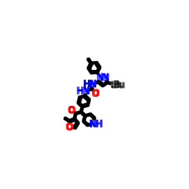 Cc1ccc(-n2nc(C(C)(C)C)cc2NC(=O)Nc2ccc(C(C(=O)c3ccoc3C)C3CCNCC3)cc2)cc1